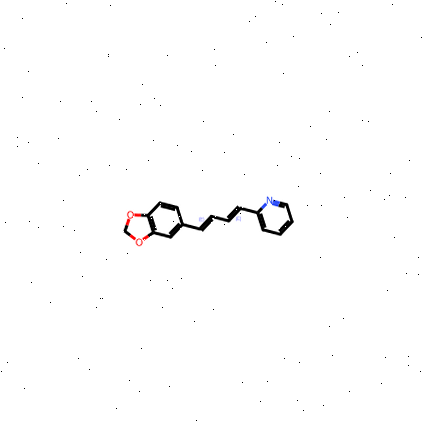 C(/C=C/c1ccccn1)=C\c1ccc2c(c1)OCO2